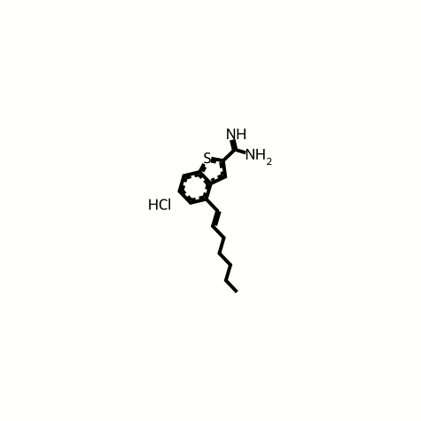 CCCCCC=Cc1cccc2sc(C(=N)N)cc12.Cl